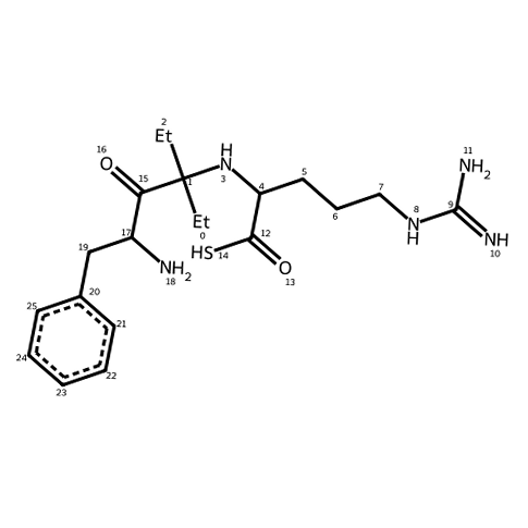 CCC(CC)(NC(CCCNC(=N)N)C(=O)S)C(=O)C(N)Cc1ccccc1